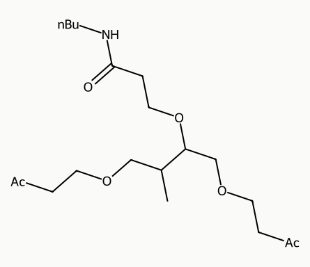 CCCCNC(=O)CCOC(COCCC(C)=O)C(C)COCCC(C)=O